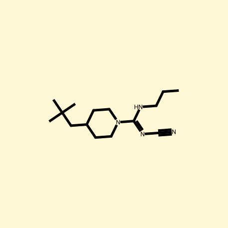 CCCN/C(=N\C#N)N1CCC(CC(C)(C)C)CC1